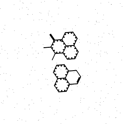 C1=Cc2cccc3cccc(c23)C1.C=c1c(C)c(C)c2cccc3cccc1c32